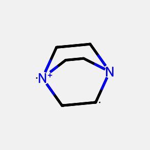 [CH]1C[N+]2CCN1CC2